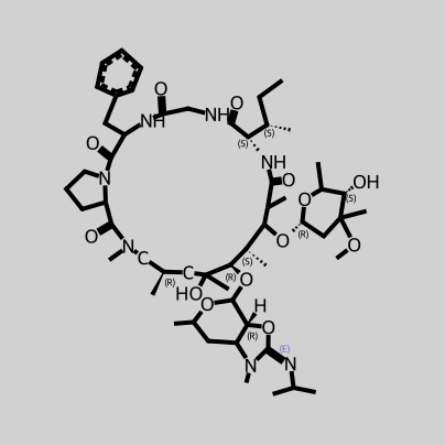 CC[C@H](C)[C@@H]1NC(=O)C(C)C(O[C@H]2CC(C)(OC)[C@@H](O)C(C)O2)[C@H](C)[C@@H](OC2OC(C)CC3[C@H]2O/C(=N/C(C)C)N3C)C(C)(O)C[C@@H](C)CN(C)C(=O)C2CCCN2C(=O)C(Cc2ccccc2)NC(=O)CNC1=O